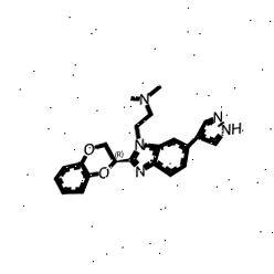 CN(C)CCn1c([C@@H]2COc3ccccc3O2)nc2ccc(-c3cn[nH]c3)cc21